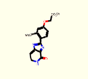 CCOC(=O)COc1ccc(C2=NC3=CCNC(=O)C3=N2)c(OC)c1